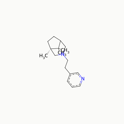 CC1(C)C2CC[C@]1(C)CN(CCc1cccnc1)C2